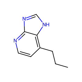 CCCc1ccnc2nc[nH]c12